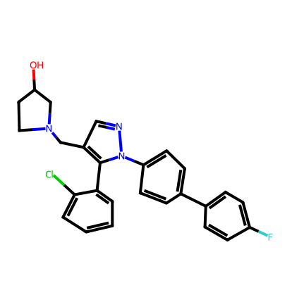 OC1CCN(Cc2cnn(-c3ccc(-c4ccc(F)cc4)cc3)c2-c2ccccc2Cl)C1